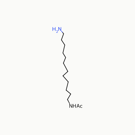 CC(=O)NCCCCCCCCCCCCN